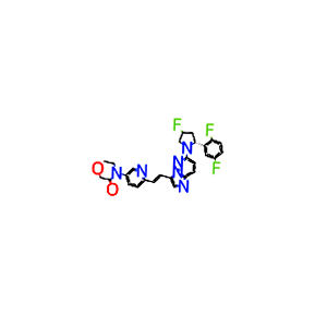 O=C1COCCN1c1ccc(/C=C/c2cnc3ccc(N4C[C@@H](F)C[C@@H]4c4cc(F)ccc4F)nn23)nc1